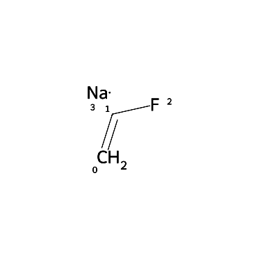 C=CF.[Na]